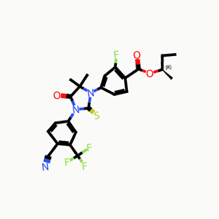 CC[C@@H](C)OC(=O)c1ccc(N2C(=S)N(c3ccc(C#N)c(C(F)(F)F)c3)C(=O)C2(C)C)cc1F